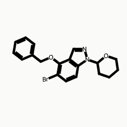 Brc1ccc2c(cnn2C2CCCCO2)c1OCc1ccccc1